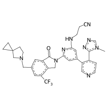 Cn1cnnc1-c1ccncc1-c1cc(NCCC#N)nc(N2Cc3c(cc(CN4CCC5(CC5)C4)cc3C(F)(F)F)C2=O)c1